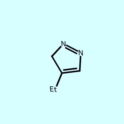 CCC1=CN=NC1